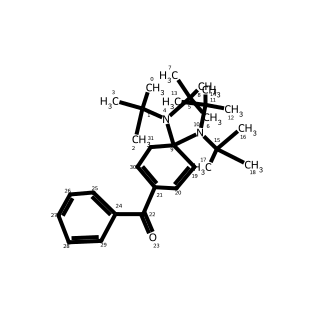 CC(C)(C)N(C(C)(C)C)C1(N(C(C)(C)C)C(C)(C)C)C=CC(C(=O)c2ccccc2)=CC1